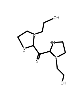 OCCN1CCNC1C(=S)C1NCCN1CCO